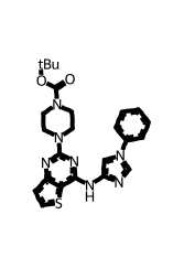 CC(C)(C)OC(=O)N1CCN(c2nc(Nc3cn(-c4ccccc4)cn3)c3sccc3n2)CC1